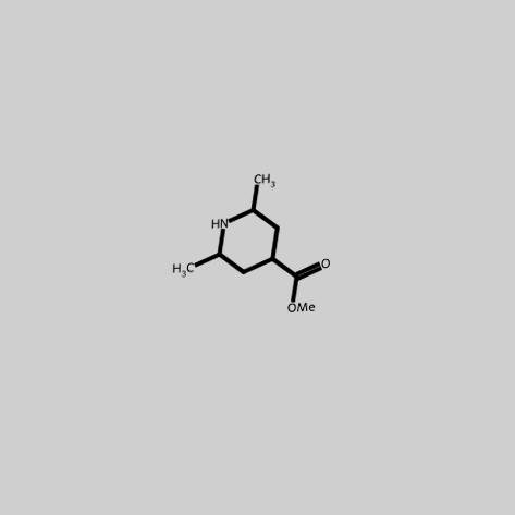 COC(=O)C1CC(C)NC(C)C1